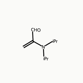 C=C(C=O)N(C(C)C)C(C)C